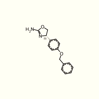 NC1=N[C@@H](c2ccc(OCc3ccccc3)cc2)CO1